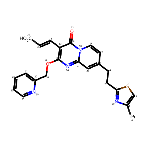 CC(C)c1csc(CCc2ccn3c(=O)c(/C=C/C(=O)O)c(OCc4ccccn4)nc3c2)n1